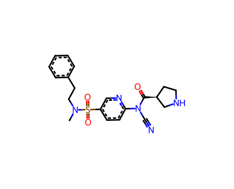 CN(CCc1ccccc1)S(=O)(=O)c1ccc(N(C#N)C(=O)[C@H]2CCNC2)nc1